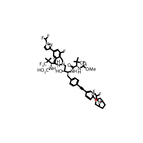 COC(=O)N[C@H](C(=O)N[C@@H](Cc1ccc(C#Cc2ccc(N3CC4CCC(C3)N4CC(F)F)nc2)cc1)[C@@H](O)CN(Cc1c(F)cc(-c2ccn(C(F)F)n2)cc1F)NC(=O)[C@@H](NC(=O)O)C(C)(C)C(F)(F)F)C(C)(C)C(F)(F)F